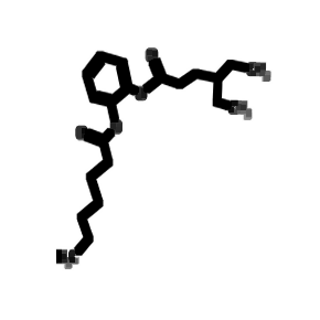 CCCCCCC(=O)Oc1ccccc1OC(=O)CCC(CC)CC